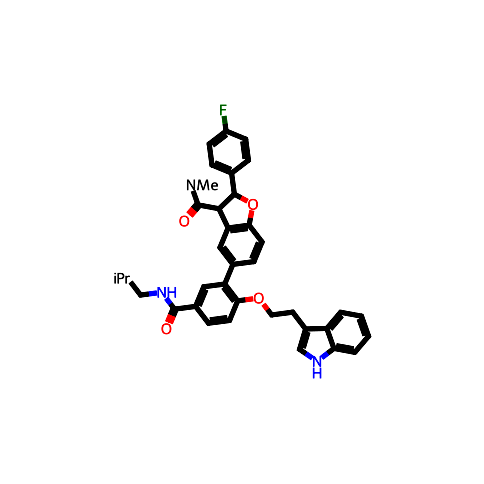 CNC(=O)C1c2cc(-c3cc(C(=O)NCC(C)C)ccc3OCCc3c[nH]c4ccccc34)ccc2OC1c1ccc(F)cc1